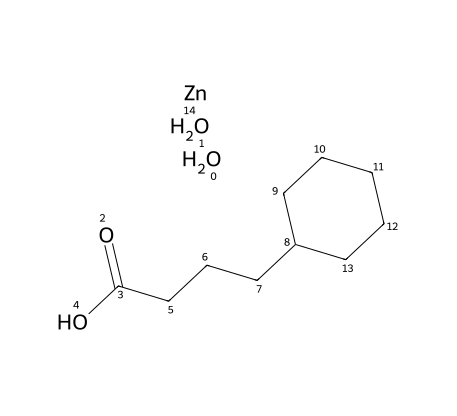 O.O.O=C(O)CCCC1CCCCC1.[Zn]